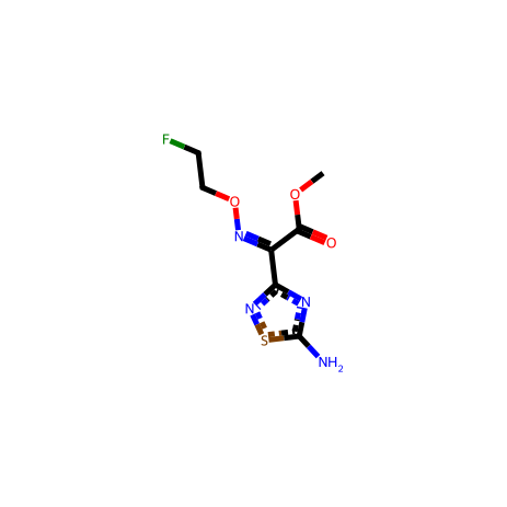 COC(=O)/C(=N\OCCF)c1nsc(N)n1